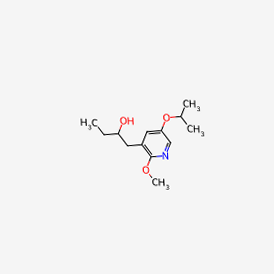 CCC(O)Cc1cc(OC(C)C)cnc1OC